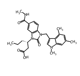 CCC[C@@H](CC(=O)O)n1c(=O)n(Cc2cn(C)c3cc(C)cc(C)c23)c2ccc(C(=O)NC)cc21